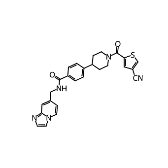 N#Cc1csc(C(=O)N2CCC(c3ccc(C(=O)NCc4ccn5ccnc5c4)cc3)CC2)c1